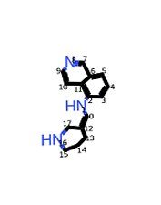 C(/Nc1cccc2cnccc12)=C1\CCCNC1